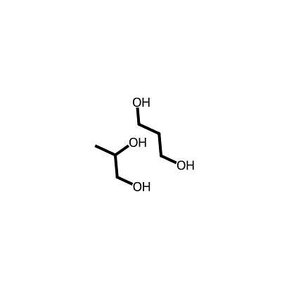 CC(O)CO.OCCCO